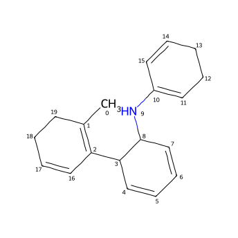 CC1=C(C2C=CC=CC2NC2=CCCC=C2)C=CCC1